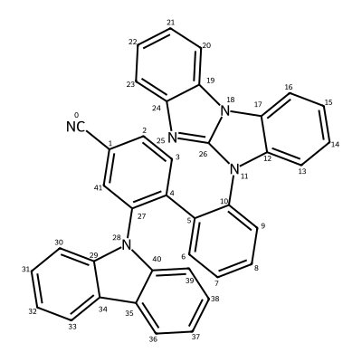 N#Cc1ccc(-c2ccccc2-n2c3ccccc3n3c4ccccc4nc23)c(-n2c3ccccc3c3ccccc32)c1